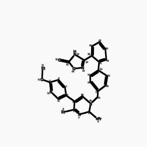 CCCC1N=C(CC)C(c2ccc(OCC)nc2)=CN1Cc1ccc(-c2ccccc2-c2noc(=O)[nH]2)cc1